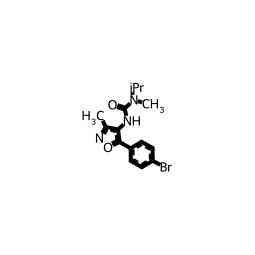 Cc1noc(-c2ccc(Br)cc2)c1NC(=O)N(C)C(C)C